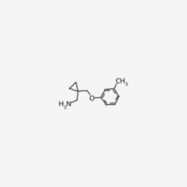 Cc1cccc(OCC2(CN)CC2)c1